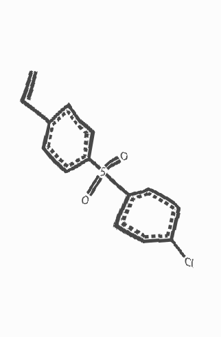 C=Cc1ccc(S(=O)(=O)c2ccc(Cl)cc2)cc1